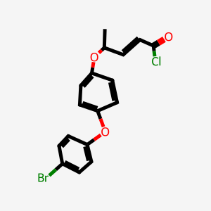 CC(C=CC(=O)Cl)Oc1ccc(Oc2ccc(Br)cc2)cc1